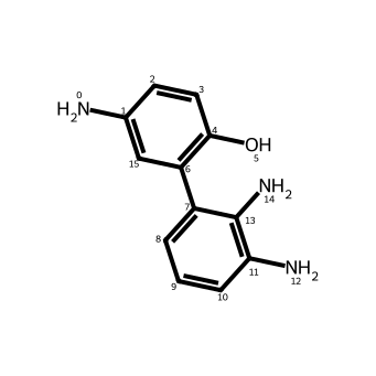 Nc1ccc(O)c(-c2cccc(N)c2N)c1